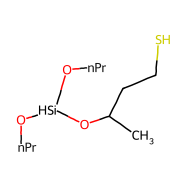 CCCO[SiH](OCCC)OC(C)CCS